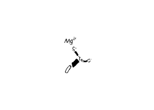 O=[Te]([O-])[S-].[Mg+2]